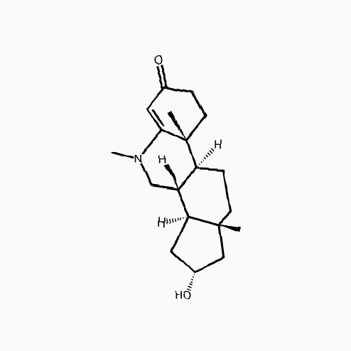 CN1C[C@H]2[C@@H]3C[C@@H](O)C[C@@]3(C)CC[C@@H]2[C@@]2(C)CCC(=O)C=C12